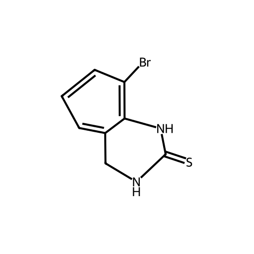 S=C1NCc2cccc(Br)c2N1